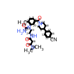 Cc1ccc(C(=O)N2CCC(c3ccc(C#N)cc3)CC2)cc1N(CCNC(=O)CC(=O)N(C)C)C(N)=O